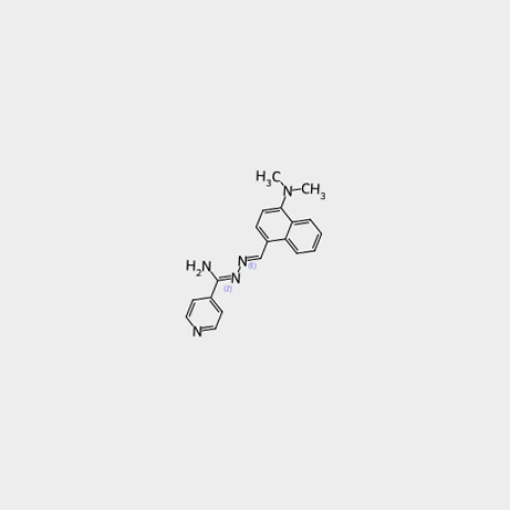 CN(C)c1ccc(/C=N/N=C(\N)c2ccncc2)c2ccccc12